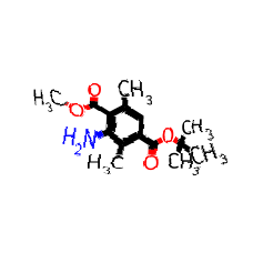 COC(=O)c1c(C)cc(C(=O)OC(C)(C)C)c(C)c1N